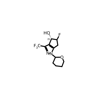 O[C@H]1c2c(C(F)(F)F)nn(C3CCCCO3)c2CC1F